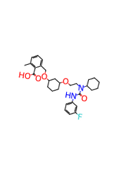 Cc1cccc(COC2CCCC(OCCN(C(=O)Nc3cccc(F)c3)C3CCCCC3)C2)c1C(=O)O